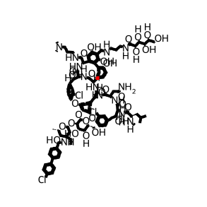 CCC1(NCc2ccc(-c3ccc(Cl)cc3)cc2)C[C@H](O[C@@H]2C(O)C(O)[C@@H](CO)O[C@H]2Oc2c3cc4cc2Oc2ccc(cc2Cl)[C@@H](O)[C@@H](NC(=O)[C@@H](CC(C)C)NC)C(=O)NC(CC(N)=O)C(=O)N[C@H]4C(=O)N[C@H]2C(=O)N[C@H](C(=O)NC(C(=O)NCCCN(C)C)c4cc(O)c(CNCCCNC(=O)[C@H](O)[C@@H](O)[C@H](O)[C@H](O)CO)c(O)c4-c4cc2ccc4O)[C@H](O)c2ccc(c(Cl)c2)O3)O[C@@H](C)[C@H]1O